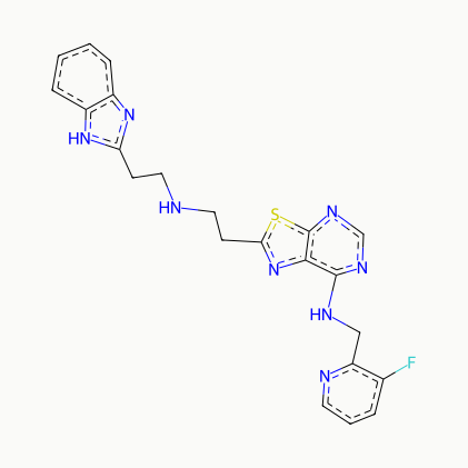 Fc1cccnc1CNc1ncnc2sc(CCNCCc3nc4ccccc4[nH]3)nc12